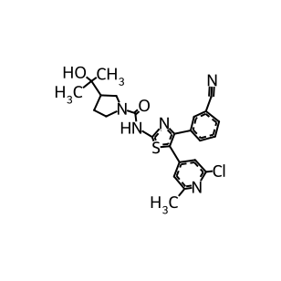 Cc1cc(-c2sc(NC(=O)N3CCC(C(C)(C)O)C3)nc2-c2cccc(C#N)c2)cc(Cl)n1